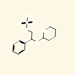 CS(=O)(=O)OCC(OC1CCCCO1)c1ccccc1